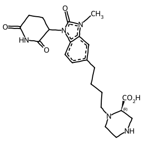 Cn1c(=O)n(C2CCC(=O)NC2=O)c2ccc(CCCCN3CCNC[C@@H]3C(=O)O)cc21